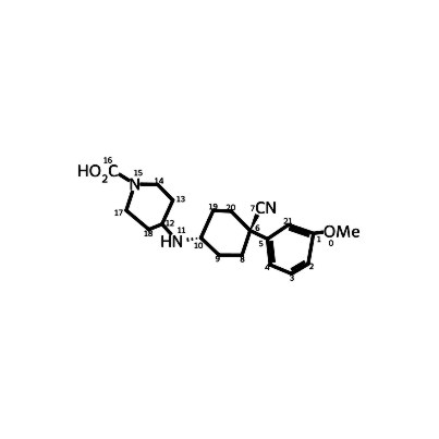 COc1cccc([C@]2(C#N)CC[C@H](NC3CCN(C(=O)O)CC3)CC2)c1